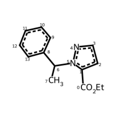 CCOC(=O)c1ccnn1C(C)c1ccccc1